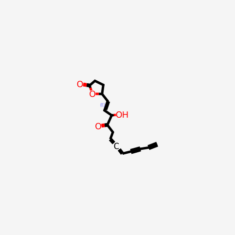 C#CC#CC=C=CCC(=O)C(O)/C=C/C1CCC(=O)O1